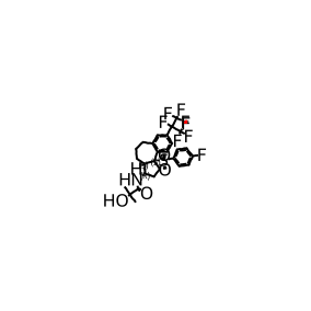 CC(C)(O)C(=O)N[C@@H]1CC[C@@]2(S(=O)(=O)c3ccc(F)cc3)c3ccc(C(F)(C(F)(F)F)C(F)(F)F)cc3CCC[C@@H]12